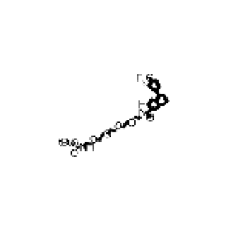 CC(C)(C)OC(=O)NCCOCCOCCOCCOCCNC(=O)c1ccc2c(-c3ccc(C(F)(F)F)cc3)cccc2c1